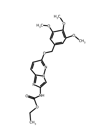 CCOC(=O)Nc1cn2nc(OCc3cc(OC)c(OC)c(OC)c3)ccc2n1